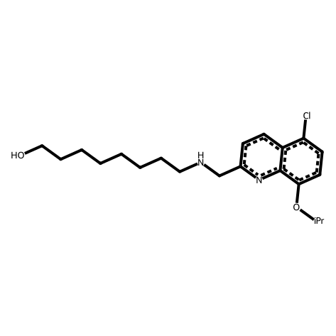 CC(C)Oc1ccc(Cl)c2ccc(CNCCCCCCCCO)nc12